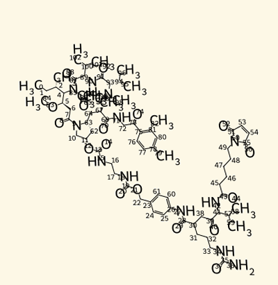 CC[C@H](C)C([C@@H](CC(=O)N1C[C@@H](OC(=O)NCCNC(=O)OCc2ccc(NC(=O)C(CCCNC(N)=O)CC(=O)[C@@H](NC(=O)CCCCCN3C(=O)C=CC3=O)C(C)C)cc2)C[C@H]1[C@H](OC)[C@@H](C)C(=O)NCC(=O)c1ccc(C)cc1C)OC)N(C)C(=O)[C@@H](NC(=O)[C@H](C(C)C)N(C)C)C(C)C